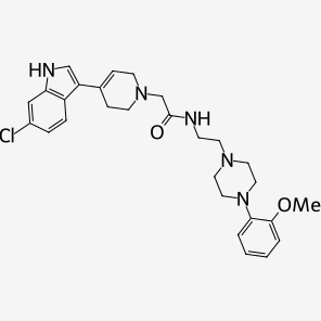 COc1ccccc1N1CCN(CCNC(=O)CN2CC=C(c3c[nH]c4cc(Cl)ccc34)CC2)CC1